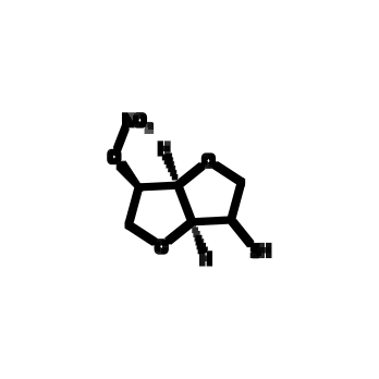 O=[N+]([O-])O[C@@H]1CO[C@@H]2C(S)CO[C@@H]21